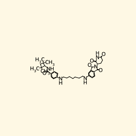 CC1(C)CC(C)(C)C1NC(=O)c1ccc(NCCCCCCCNc2ccc3c(c2)C(=O)N(C2CCC(=O)NC2=O)C3=O)cc1